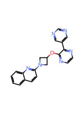 c1ccc2nc(N3CC(Oc4nccnc4-c4cncnc4)C3)ccc2c1